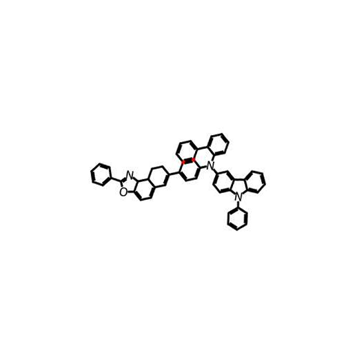 C1=C(c2ccc(N(c3ccc4c(c3)c3ccccc3n4-c3ccccc3)c3ccccc3-c3ccccc3)cc2)CCC2C1=CC=C1OC(c3ccccc3)=NC12